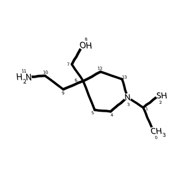 CC(S)N1CCC(CO)(CCN)CC1